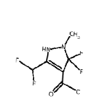 CN1NC(C(F)F)=C(C(=O)Cl)C1(F)F